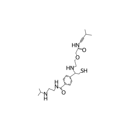 CC(C)C#CNC(=O)COCCNC(CS)c1ccc(C(=O)NCCNC(C)C)cc1